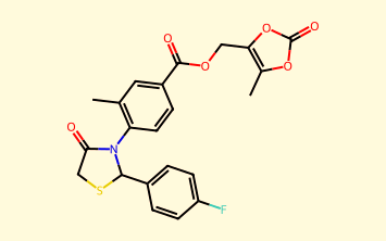 Cc1cc(C(=O)OCc2oc(=O)oc2C)ccc1N1C(=O)CSC1c1ccc(F)cc1